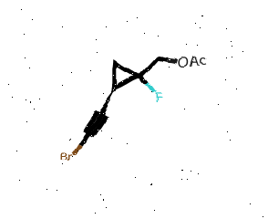 CC(=O)OCC1(F)C[C@@H]1C#CBr